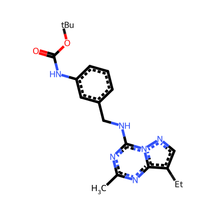 CCc1cnn2c(NCc3cccc(NC(=O)OC(C)(C)C)c3)nc(C)nc12